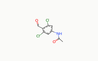 CC(=O)Nc1cc(Cl)c(C=O)c(Cl)c1